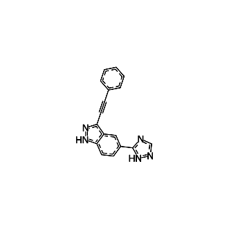 C(#Cc1n[nH]c2ccc(-c3ncn[nH]3)cc12)c1ccccc1